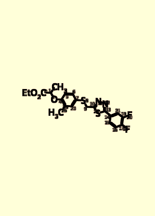 CCOC(=O)C(C)Oc1ccc(SCc2nnc(-c3ccc(F)c(F)c3)s2)cc1C